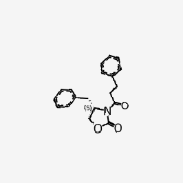 O=C(CCc1ccccc1)N1C(=O)OC[C@@H]1Cc1ccccc1